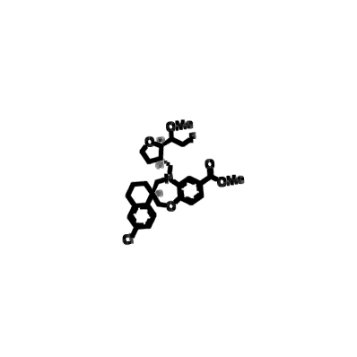 COC(=O)c1ccc2c(c1)N(C[C@@H]1CCO[C@H]1C(CF)OC)C[C@@]1(CCCc3cc(Cl)ccc31)CO2